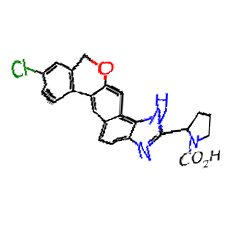 O=C(O)N1CCCC1c1nc2ccc3cc4c(cc3c2[nH]1)OCc1cc(Cl)ccc1-4